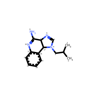 CC(C)CN1C=NC2C(N)=Nc3ccccc3C21